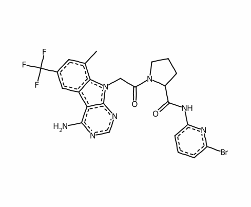 Cc1cc(C(F)(F)F)cc2c3c(N)ncnc3n(CC(=O)N3CCCC3C(=O)Nc3cccc(Br)n3)c12